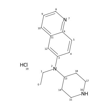 CCN(c1ccc2ncccc2c1)C1CCNCC1.Cl